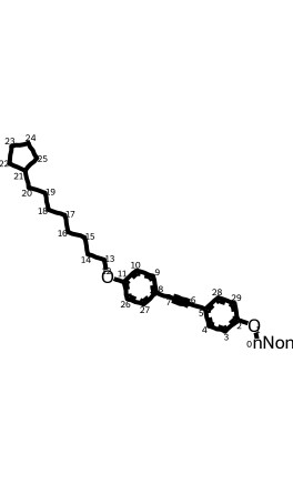 CCCCCCCCCOc1ccc(C#Cc2ccc(OCCCCCCCCC3CCCC3)cc2)cc1